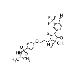 CC(C)NS(=O)(=O)c1ccc(OCCCN2C(=S)N(c3ccc(C#N)c(C(F)(F)F)c3)C(=O)C2(C)C)cc1